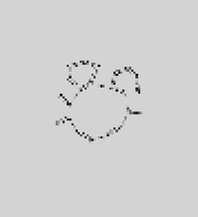 C=C1/C=C(C)\C=C/N(C)c2ccccc2-c2ccccc2C1=C